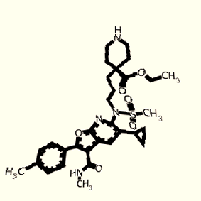 CCOC(=O)C1(CCCN(c2nc3oc(-c4ccc(C)cc4)c(C(=O)NC)c3cc2C2CC2)S(C)(=O)=O)CCNCC1